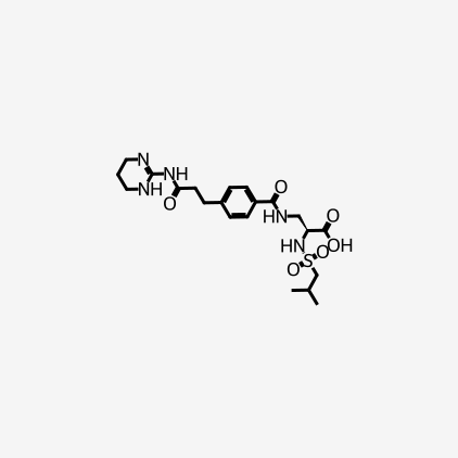 CC(C)CS(=O)(=O)N[C@@H](CNC(=O)c1ccc(CCC(=O)NC2=NCCCN2)cc1)C(=O)O